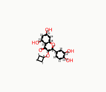 O=c1c(OC2CCC2)c(-c2ccc(O)c(O)c2)oc2cc(O)cc(O)c12